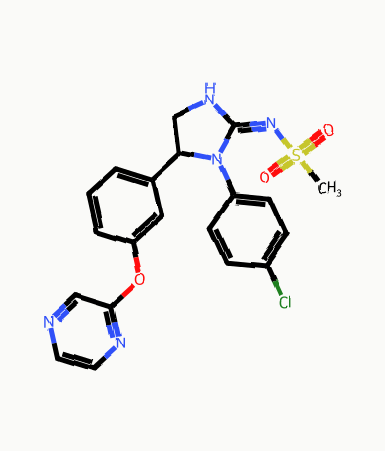 CS(=O)(=O)N=C1NCC(c2cccc(Oc3cnccn3)c2)N1c1ccc(Cl)cc1